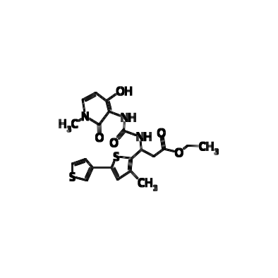 CCOC(=O)CC(NC(=O)Nc1c(O)ccn(C)c1=O)c1sc(-c2ccsc2)cc1C